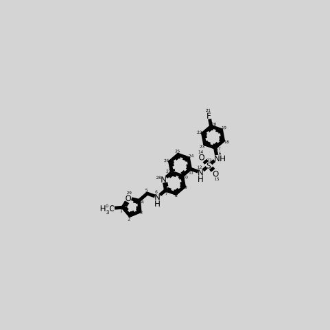 Cc1ccc(CNc2ccc3c(NS(=O)(=O)Nc4ccc(F)cc4)cccc3n2)o1